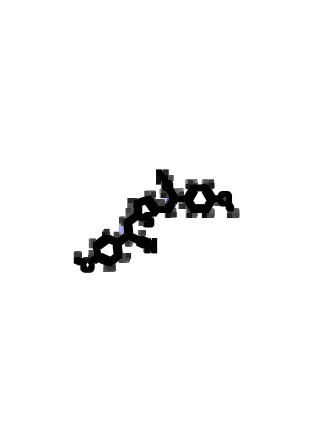 COc1ccc(/C(C#N)=C/c2ccc(/C=C(\C#N)c3ccc(OC)cc3)s2)cc1